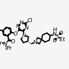 CCS(=O)(=O)NC1CCC2(CC1)CN(C[C@@H]1CCN(c3nc(Cl)nnc3Oc3ccc(F)cc3C(=O)N(C(C)C)C(C)C)C1)C2